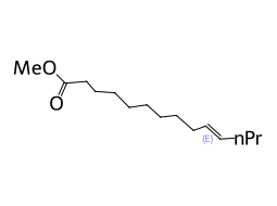 CCC/C=C/CCCCCCCCC(=O)OC